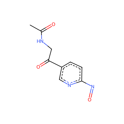 CC(=O)NCC(=O)c1ccc(N=O)nc1